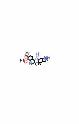 CCOc1ccc2c(Nc3ccc4cn[nH]c4c3)c(C#N)cnc2c1OCC